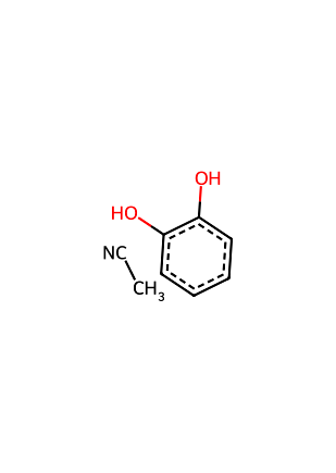 CC#N.Oc1ccccc1O